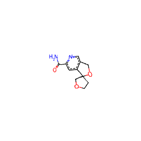 NC(=O)c1cc2c(cn1)COC21CCOC1